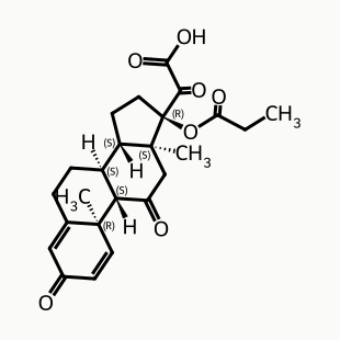 CCC(=O)O[C@]1(C(=O)C(=O)O)CC[C@H]2[C@@H]3CCC4=CC(=O)C=C[C@]4(C)[C@H]3C(=O)C[C@@]21C